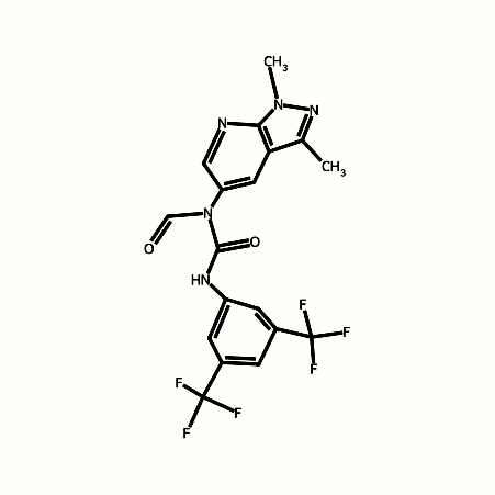 Cc1nn(C)c2ncc(N(C=O)C(=O)Nc3cc(C(F)(F)F)cc(C(F)(F)F)c3)cc12